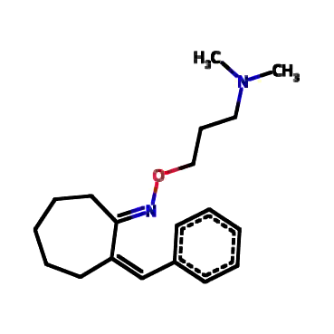 CN(C)CCCO/N=C1\CCCCC\C1=C\c1ccccc1